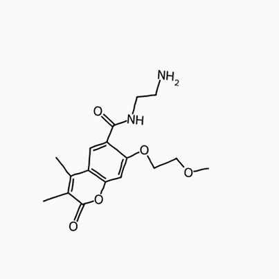 COCCOc1cc2oc(=O)c(C)c(C)c2cc1C(=O)NCCN